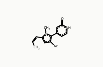 C/C=C\c1cc(C(C)=O)c(-c2cc[nH]c(=O)c2)n1C